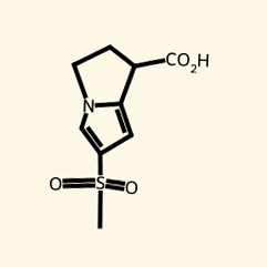 CS(=O)(=O)c1cc2n(c1)CCC2C(=O)O